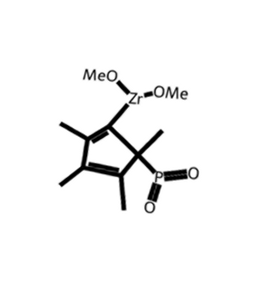 C[O][Zr]([O]C)[C]1=C(C)C(C)=C(C)C1(C)P(=O)=O